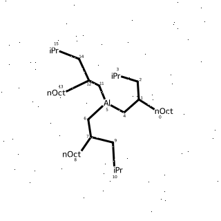 CCCCCCCCC(CC(C)C)[CH2][Al]([CH2]C(CCCCCCCC)CC(C)C)[CH2]C(CCCCCCCC)CC(C)C